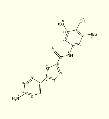 CC(C)(C)c1cc(NC(=O)c2ccc(-c3ccc(N)cc3)o2)cc(C(C)(C)C)c1O